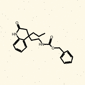 CCCC1(CCNC(=O)OCc2ccccc2)CC(=O)Nc2ccccc21